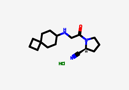 Cl.N#C[C@@H]1CCCN1C(=O)CNC1CCC2(CCC2)CC1